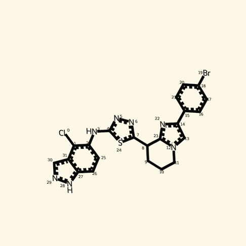 Clc1c(Nc2nnc(C3CCCn4cc(-c5ccc(Br)cc5)nc43)s2)ccc2[nH]ncc12